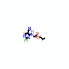 CCCOC(=O)CNc1nc(Cl)ncc1C#N